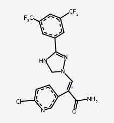 NC(=O)/C(=C/N1CNC(c2cc(C(F)(F)F)cc(C(F)(F)F)c2)=N1)c1ccc(Cl)nc1